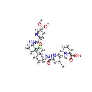 COC(OC)c1ccc(C(=O)Nc2cccc(-c3cccc(NC(=O)c4cc(C)c(CN5CCCC[C@H]5C(=O)O)cn4)c3C)c2Cl)nc1